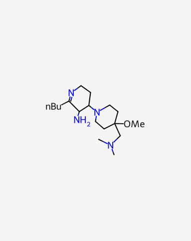 CCCCC1=NCCC(N2CCC(CN(C)C)(OC)CC2)C1N